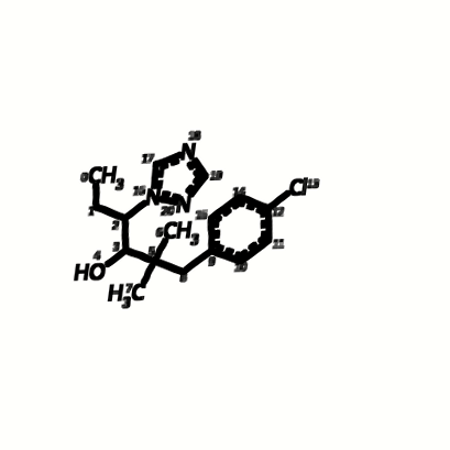 CCC(C(O)C(C)(C)Cc1ccc(Cl)cc1)n1cncn1